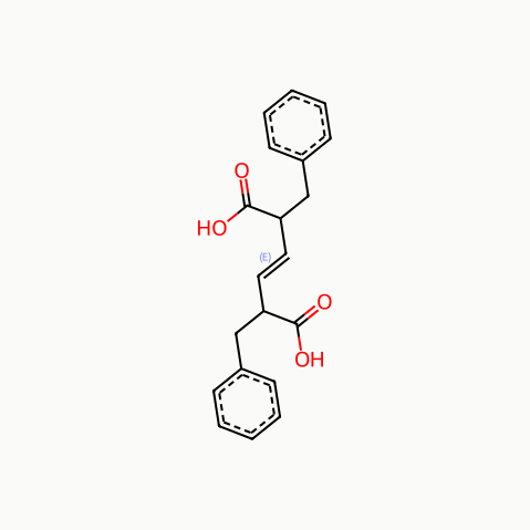 O=C(O)C(/C=C/C(Cc1ccccc1)C(=O)O)Cc1ccccc1